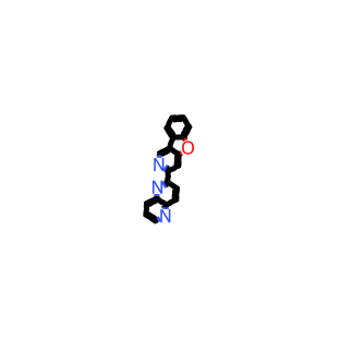 c1cnc2ccc(-c3cc4oc5ccccc5c4cn3)nc2c1